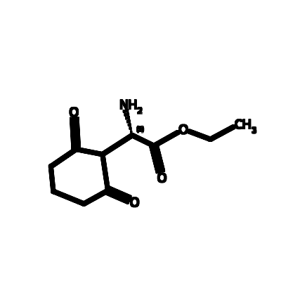 CCOC(=O)[C@@H](N)C1C(=O)CCCC1=O